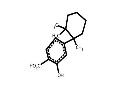 CC1(C)CCCCC1(C)c1ccc(C(=O)O)c(O)c1